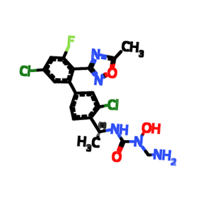 Cc1nc(-c2c(F)cc(Cl)cc2-c2ccc([C@@H](C)NC(=O)N(O)CN)c(Cl)c2)no1